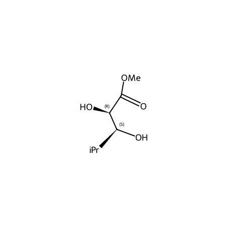 COC(=O)[C@H](O)[C@@H](O)C(C)C